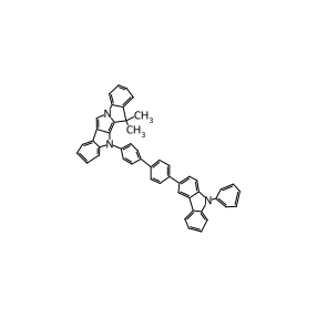 CC1(C)c2ccccc2-n2cc3c4ccccc4n(-c4ccc(-c5ccc(-c6ccc7c(c6)c6ccccc6n7-c6ccccc6)cc5)cc4)c3c21